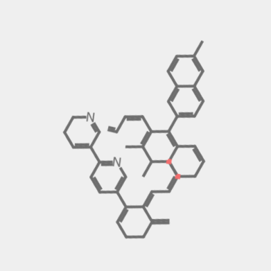 C=C\C=C/C(=C(\C)C(C)C/C=C\C=C1/C(=C)CCC=C1c1ccc(C2=CCCN=C2)nc1)C(=C1/C=CCCC1)/c1ccc2cc(C)ccc2c1